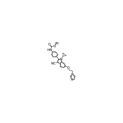 CC(C)OC(=O)Nc1ccc(-c2c(C#N)c3ccc(OCCn4ccnc4)cc3n2C2CC2)cc1